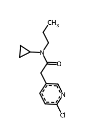 CCCN(C(=O)Cc1ccc(Cl)nc1)C1CC1